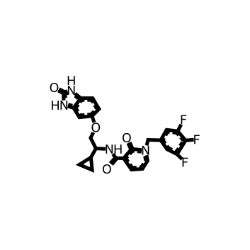 O=C(NC(COc1ccc2[nH]c(=O)[nH]c2c1)C1CC1)c1cccn(Cc2cc(F)c(F)c(F)c2)c1=O